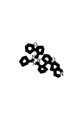 c1ccc(-c2nc(-c3ccccc3-c3cccc4oc5cc6cnccc6cc5c34)nc(-c3cccc4oc5ccccc5c34)n2)cc1